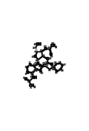 CC(=O)Nc1ncnc2c1nc(CCc1ccccc1)n2[C@@H]1O[C@H](CO)[C@@H](OC(C)=O)[C@H]1OC(C)=O